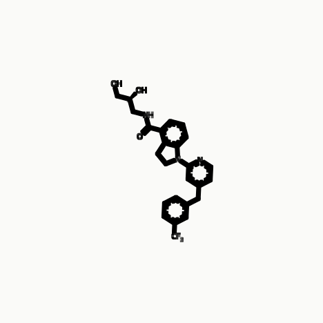 O=C(NC[C@H](O)CO)c1cccc2c1CCN2c1cc(Cc2cccc(C(F)(F)F)c2)ccn1